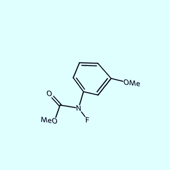 COC(=O)N(F)c1cccc(OC)c1